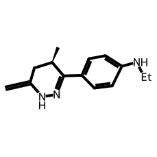 C=C1C[C@@H](C)C(c2ccc(NCC)cc2)=NN1